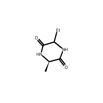 CCC1NC(=O)[C@@H](C)NC1=O